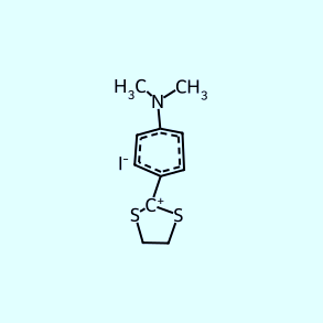 CN(C)c1ccc([C+]2SCCS2)cc1.[I-]